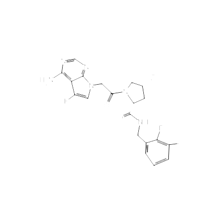 Nc1ncnc2c1c(F)cn2CC(=O)N1C[C@H](F)C[C@@H]1C(=O)NCc1cccc(Cl)c1F